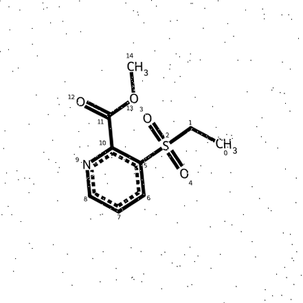 CCS(=O)(=O)c1cccnc1C(=O)OC